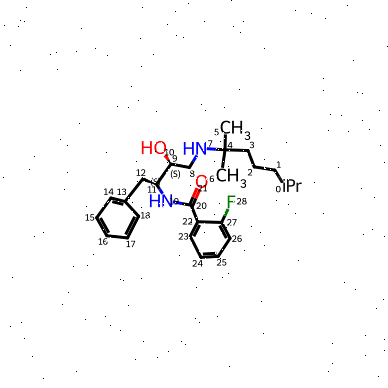 CC(C)CCCC(C)(C)NC[C@H](O)[C@H](Cc1ccccc1)NC(=O)c1ccccc1F